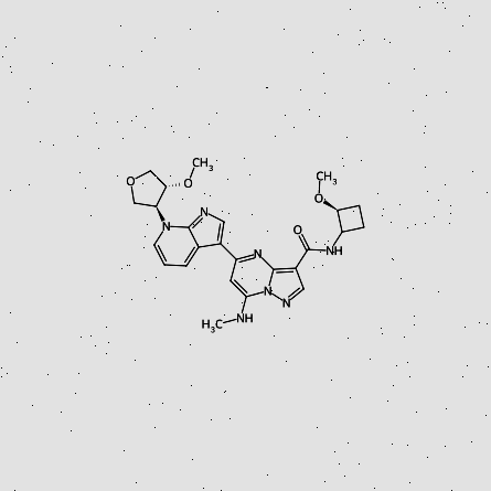 CNc1cc(-c2cnc3n([C@H]4COC[C@@H]4OC)cccc2-3)nc2c(C(=O)NC3CC[C@@H]3OC)cnn12